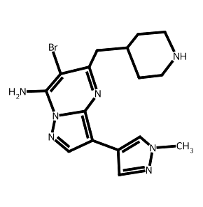 Cn1cc(-c2cnn3c(N)c(Br)c(CC4CCNCC4)nc23)cn1